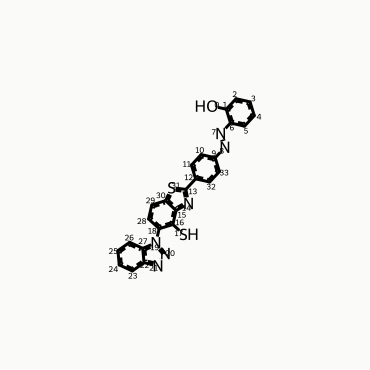 Oc1ccccc1/N=N/c1ccc(-c2nc3c(S)c(-n4nnc5ccccc54)ccc3s2)cc1